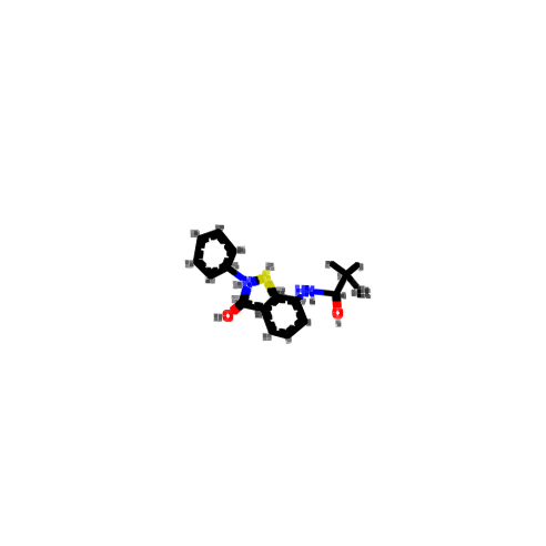 CCC(C)(C)C(=O)Nc1cccc2c(=O)n(-c3ccccc3)sc12